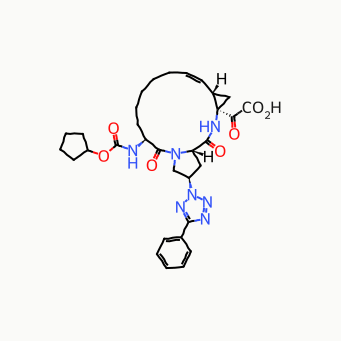 O=C(N[C@H]1CCCCC/C=C\[C@@H]2C[C@@]2(C(=O)C(=O)O)NC(=O)[C@@H]2C[C@@H](n3nnc(-c4ccccc4)n3)CN2C1=O)OC1CCCC1